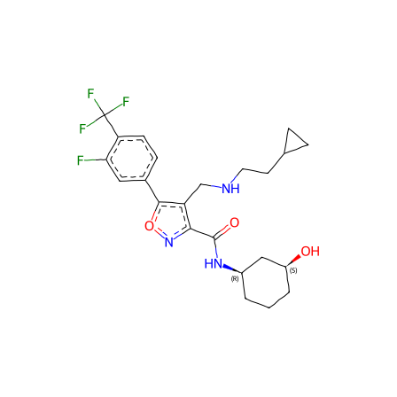 O=C(N[C@@H]1CCC[C@H](O)C1)c1noc(-c2ccc(C(F)(F)F)c(F)c2)c1CNCCC1CC1